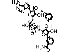 CC(=O)c1cccnc1.NC(=O)C1=CN([C@@H]2O[C@H](COP(=O)(O)OP(=O)(O)OC[C@H]3O[C@@H](n4cnc5c(N)ncnc54)[C@H](O)[C@@H]3O)[C@@H](O)[C@H]2O)C=CC1